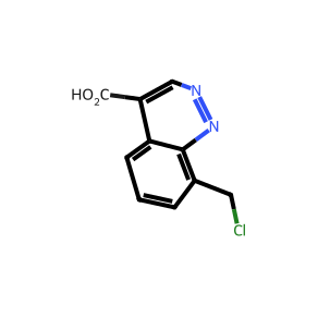 O=C(O)c1cnnc2c(CCl)cccc12